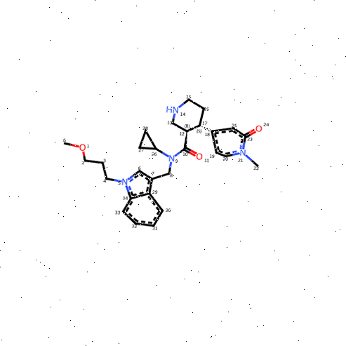 COCCCn1cc(CN(C(=O)[C@H]2CNCC[C@@H]2c2ccn(C)c(=O)c2)C2CC2)c2ccccc21